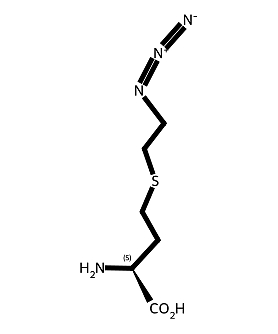 [N-]=[N+]=NCCSCC[C@H](N)C(=O)O